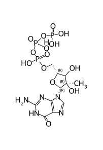 C[C@@]1(O)C(O)[C@@H](COP(=O)(O)OP(=O)(O)OP(=O)(O)O)O[C@H]1n1cnc2c(=O)[nH]c(N)nc21